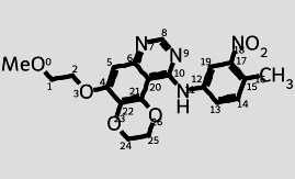 COCCOc1cc2ncnc(Nc3ccc(C)c([N+](=O)[O-])c3)c2c2c1OCCO2